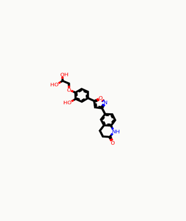 O=C1CCc2cc(-c3cc(-c4ccc(OCC(O)O)c(O)c4)on3)ccc2N1